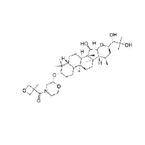 C[C@@H]1C[C@H]([C@H](O)C(C)(C)O)O[C@H]2[C@H]1[C@@]1(C)CC[C@@]34C[C@@]35CC[C@H](O[C@H]3CN(C(=O)C6(C)COC6)CCO3)C(C)(C)[C@@H]5CC[C@H]4[C@]1(C)[C@H]2O